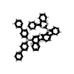 c1ccc(-c2ccc(N(c3ccc(-c4ccccc4)cc3)c3cc4oc5c(ccc6c7ccccc7n(-c7nc(-c8ccccc8)c8ccccc8n7)c65)c4c4ccccc34)cc2)cc1